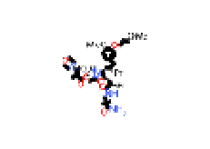 COCCCOc1cc(C[C@@H](C[C@H]2[C@H](C[C@H](C(=O)NCC(C)(C)C(N)=O)C(C)C)OC(COC(=O)C(C)CN3CCOCC3)N2C(=O)O)C(C)C)ccc1OC